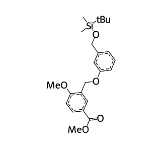 COC(=O)c1ccc(OC)c(COc2cccc(CO[Si](C)(C)C(C)(C)C)c2)c1